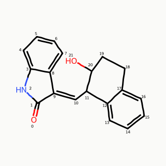 O=C1Nc2ccccc2C1=CC1c2ccccc2CCC1O